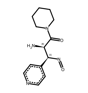 N[C@@H](C(=O)N1CCCCC1)[C@@H](N=O)c1ccncc1